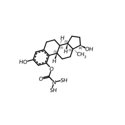 C[C@]12CC[C@@H]3c4c(cc(O)cc4OC(=O)N(S)S)CC[C@H]3[C@@H]1CC[C@H]2O